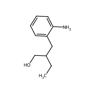 CCC(CO)Cc1ccccc1N